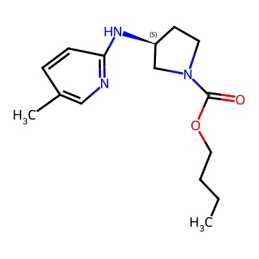 CCCCOC(=O)N1CC[C@H](Nc2ccc(C)cn2)C1